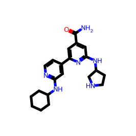 NC(=O)c1cc(NC2CCNC2)nc(-c2ccnc(NC3CCCCC3)c2)c1